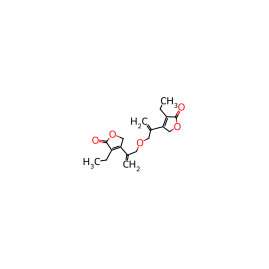 C=C(COCC(=C)C1=C(CC)C(=O)OC1)C1=C(CC)C(=O)OC1